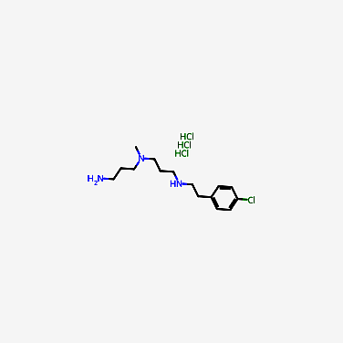 CN(CCCN)CCCNCCc1ccc(Cl)cc1.Cl.Cl.Cl